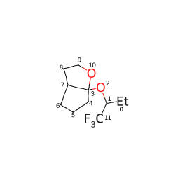 CCC(OC12CCCC1CCO2)C(F)(F)F